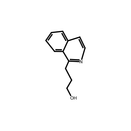 OCCCc1nccc2ccccc12